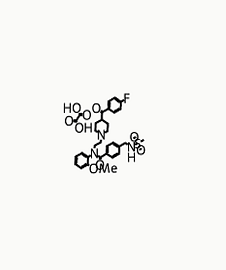 COc1ccccc1N(CCN1CCC(C(=O)c2ccc(F)cc2)CC1)C(=O)c1ccc(CNS(C)(=O)=O)cc1.O=C(O)C(=O)O